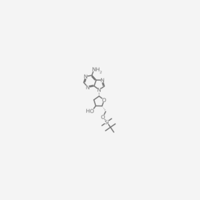 CC(C)(C)[Si](C)(C)OC[C@H]1O[C@@H](n2cnc3c(N)ncnc32)CC1O